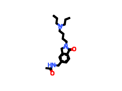 CCCN(CCC)CCCCN1Cc2cc(CNC(C)=O)ccc2C1=O